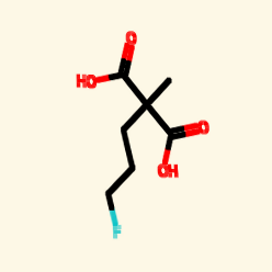 CC(CCCF)(C(=O)O)C(=O)O